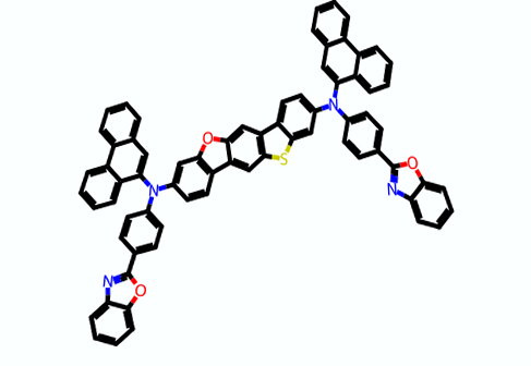 c1ccc2c(c1)cc(N(c1ccc(-c3nc4ccccc4o3)cc1)c1ccc3c(c1)oc1cc4c(cc13)sc1cc(N(c3ccc(-c5nc6ccccc6o5)cc3)c3cc5ccccc5c5ccccc35)ccc14)c1ccccc12